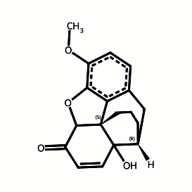 COc1ccc2c3c1OC1C(=O)C=CC4(O)[C@H](CCC[C@]314)C2